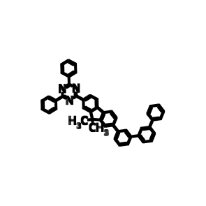 CC1(C)c2cc(-c3cccc(-c4cccc(-c5ccccc5)c4)c3)ccc2-c2ccc(-c3nc(-c4ccccc4)nc(-c4ccccc4)n3)cc21